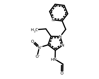 CCc1c([N+](=O)[O-])c(NC=O)nn1Cc1ccccn1